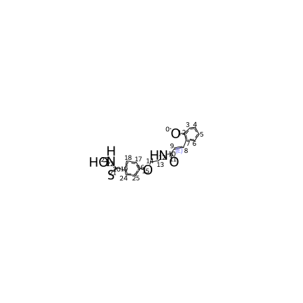 COc1ccccc1/C=C/C(=O)NCCOc1ccc(C(=S)NO)cc1